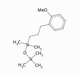 COc1ccccc1CCC[Si](C)(C)O[Si](C)(C)C